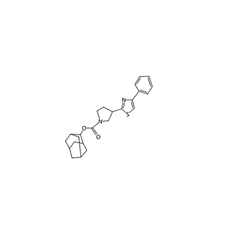 O=C(OC1C2CC3CC(C2)CC1C3)N1CCC(c2nc(-c3ccccc3)cs2)C1